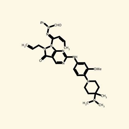 C=CCn1c(=O)c2cnc(Nc3ccc(N4CCC(C)(N(C)C)CC4)c(OC)c3)nc2n1C(/C=C\C)=N/N(C=O)C(C)C